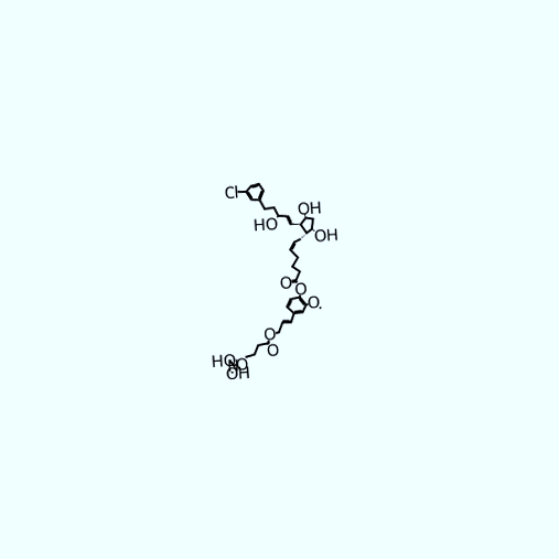 COc1cc(/C=C/COC(=O)CCCON(O)O)ccc1OC(=O)CCC/C=C\C[C@@H]1[C@@H](/C=C/[C@@H](O)CCc2cccc(Cl)c2)[C@H](O)C[C@@H]1O